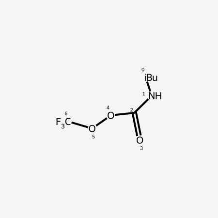 CCC(C)NC(=O)OOC(F)(F)F